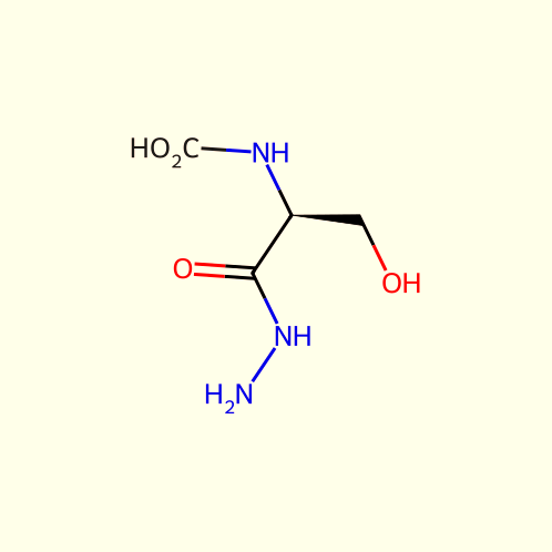 NNC(=O)[C@H](CO)NC(=O)O